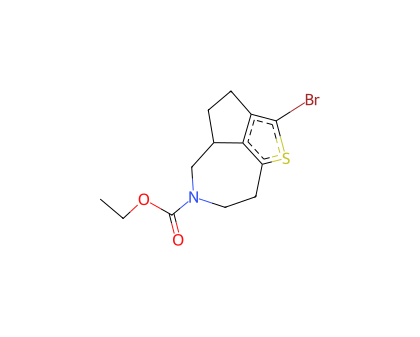 CCOC(=O)N1CCc2sc(Br)c3c2C(CC3)C1